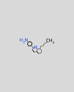 CCCCCC1CCC=C2C=CC(c3ccc(N)cc3)=NC21